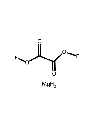 O=C(OF)C(=O)OF.[MgH2]